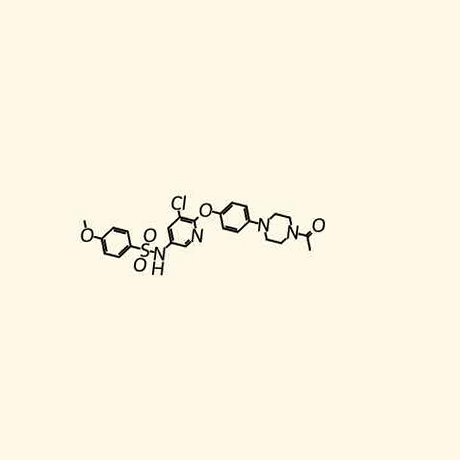 COc1ccc(S(=O)(=O)Nc2cnc(Oc3ccc(N4CCN(C(C)=O)CC4)cc3)c(Cl)c2)cc1